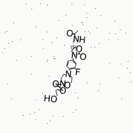 CC(=O)NC[C@H]1CN(c2ccc(N3CCON(S(=O)(=O)CCO)CC3)c(F)c2)C(=O)O1